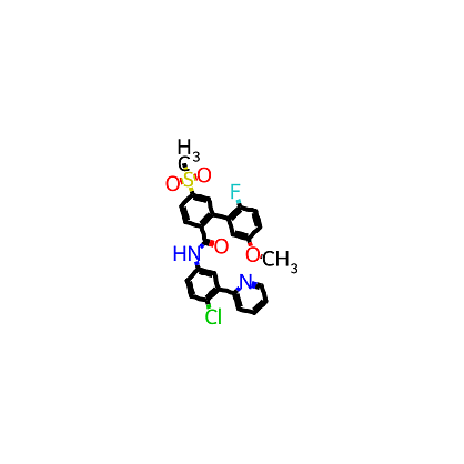 COc1ccc(F)c(-c2cc(S(C)(=O)=O)ccc2C(=O)Nc2ccc(Cl)c(-c3ccccn3)c2)c1